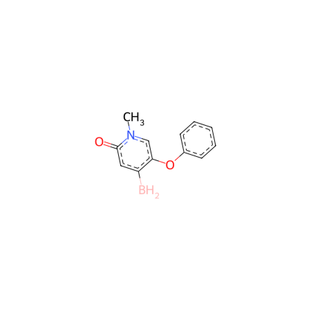 Bc1cc(=O)n(C)cc1Oc1ccccc1